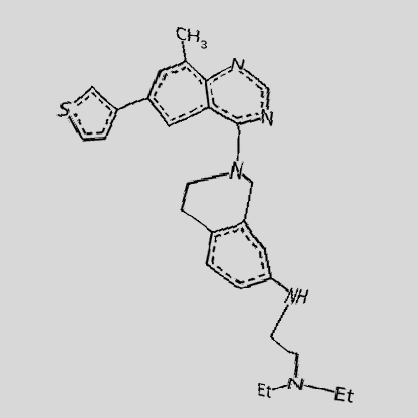 CCN(CC)CCNc1ccc2c(c1)CN(c1ncnc3c(C)cc(-c4ccsc4)cc13)CC2